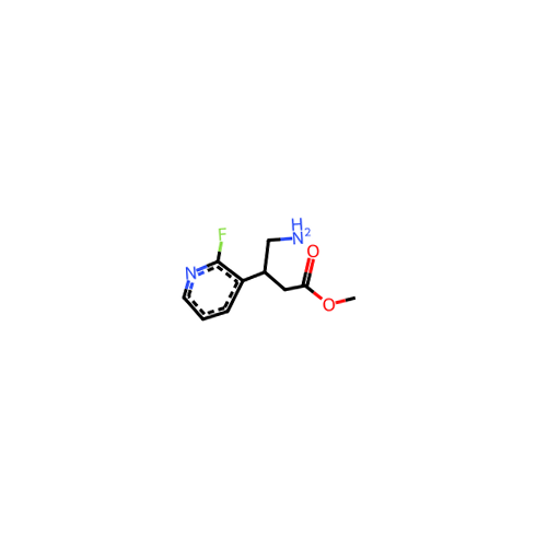 COC(=O)CC(CN)c1cccnc1F